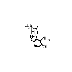 C[C@@H](Cn1ncc2ccc(O)c(N)c21)NC(=O)O